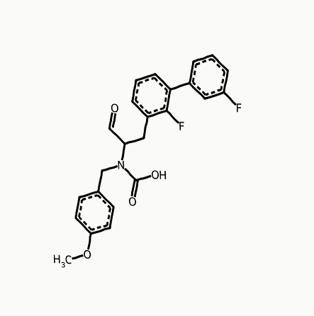 COc1ccc(CN(C(=O)O)C(C=O)Cc2cccc(-c3cccc(F)c3)c2F)cc1